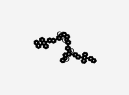 c1ccc2cc(-c3c4ccccc4c(-c4ccc5cc(-c6cc7c(ccc8c9ccccc9oc87)c7c6oc6cc(-c8ccc9c(c8)oc8c9ccc9ccc%10oc%11cc(-c%12ccc%13cc(-c%14c%15ccccc%15c(-c%15cccc%16ccccc%15%16)c%15ccccc%14%15)ccc%13c%12)ccc%11c%10c98)ccc67)ccc5c4)c4ccccc34)ccc2c1